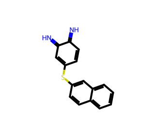 N=C1C=CC(Sc2ccc3ccccc3c2)=CC1=N